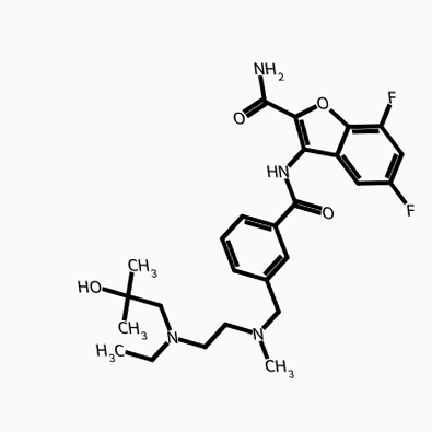 CCN(CCN(C)Cc1cccc(C(=O)Nc2c(C(N)=O)oc3c(F)cc(F)cc23)c1)CC(C)(C)O